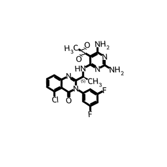 C[C@H](Nc1nc(N)nc(N)c1S(C)(=O)=O)c1nc2cccc(Cl)c2c(=O)n1-c1cc(F)cc(F)c1